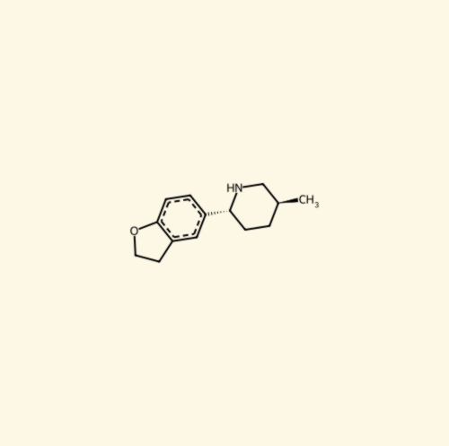 C[C@H]1CC[C@H](c2ccc3c(c2)CCO3)NC1